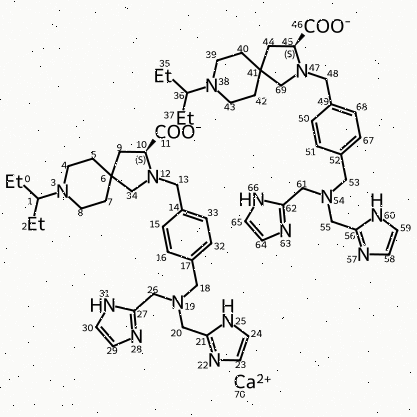 CCC(CC)N1CCC2(CC1)C[C@@H](C(=O)[O-])N(Cc1ccc(CN(Cc3ncc[nH]3)Cc3ncc[nH]3)cc1)C2.CCC(CC)N1CCC2(CC1)C[C@@H](C(=O)[O-])N(Cc1ccc(CN(Cc3ncc[nH]3)Cc3ncc[nH]3)cc1)C2.[Ca+2]